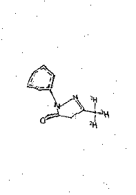 [2H]C([2H])([2H])C1=NN(c2ccccc2)C(=O)C1